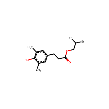 CCC(CC)COC(=O)CCc1cc(C)c(O)c(C)c1